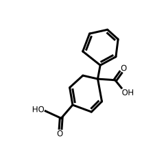 O=C(O)C1=CCC(C(=O)O)(c2ccccc2)C=C1